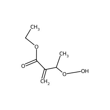 C=C(C(=O)OCC)C(C)OO